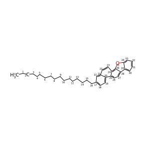 CCCCCCCCCCCCCCCCCc1ccc2c(ccc3c2ccc2c4ccccc4oc23)c1